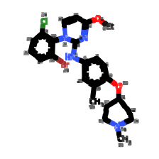 CCOC1=NC(Nc2ccc(OC3CCN(C)CC3)c(C)c2)N(c2c(Cl)cccc2Br)C=C1